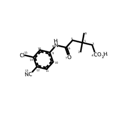 CC(C)(CC(=O)O)CC(=O)Nc1ccc(C#N)c(Cl)c1